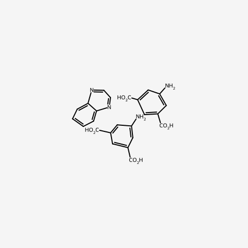 Nc1cc(C(=O)O)cc(C(=O)O)c1.Nc1cc(C(=O)O)cc(C(=O)O)c1.c1ccc2nccnc2c1